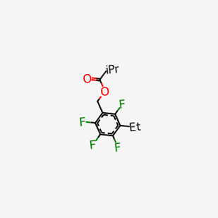 CCc1c(F)c(F)c(F)c(COC(=O)C(C)C)c1F